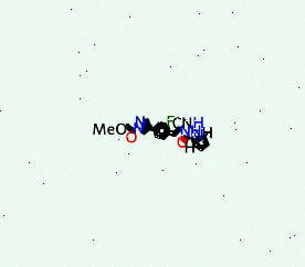 COCC(=O)n1cc(-c2ccc(C[C@@H](C#N)NC(=O)[C@H]3N[C@@H]4CC[C@H]3C4)c(F)c2)cn1